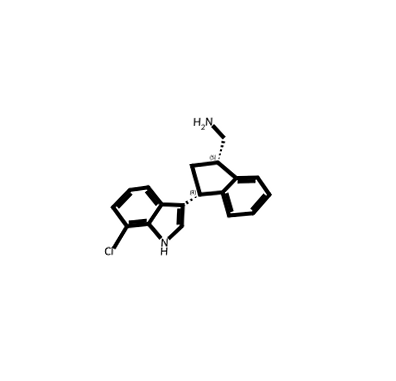 NC[C@H]1C[C@@H](c2c[nH]c3c(Cl)cccc23)c2ccccc21